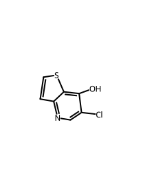 Oc1c(Cl)cnc2ccsc12